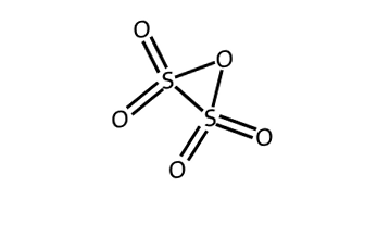 O=S1(=O)OS1(=O)=O